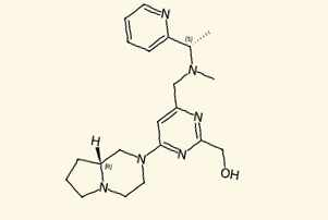 C[C@@H](c1ccccn1)N(C)Cc1cc(N2CCN3CCC[C@@H]3C2)nc(CO)n1